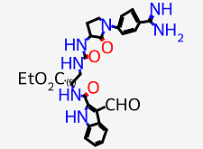 CCOC(=O)[C@H](CNC(=O)NC1CCN(c2ccc(C(=N)N)cc2)C1=O)NC(=O)c1[nH]c2ccccc2c1C=O